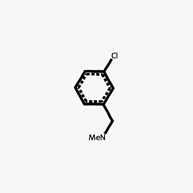 [CH]NCc1cccc(Cl)c1